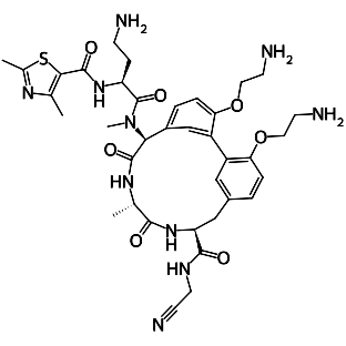 Cc1nc(C)c(C(=O)N[C@@H](CCN)C(=O)N(C)[C@@H]2C(=O)N[C@@H](C)C(=O)N[C@H](C(=O)NCC#N)Cc3ccc(OCCN)c(c3)-c3cc2ccc3OCCN)s1